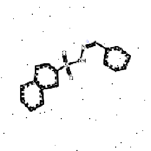 O=S(=O)(N/N=C\c1ccccc1)c1ccc2ccccc2c1